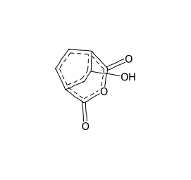 O=c1oc(=O)c2ccc1cc2O